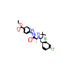 CCOC(=O)c1ccc(NC(=O)[C@@H](C)N[C@H](Cc2ccc(Cl)cc2F)CC(C)(C)C)cc1